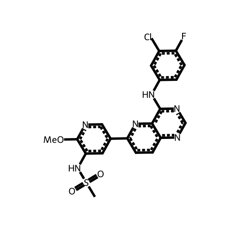 COc1ncc(-c2ccc3ncnc(Nc4ccc(F)c(Cl)c4)c3n2)cc1NS(C)(=O)=O